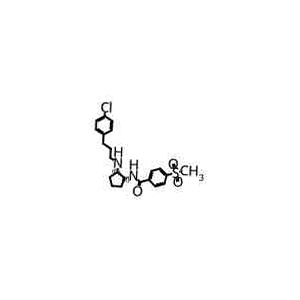 CS(=O)(=O)c1ccc(C(=O)N[C@@H]2CCC[C@H]2NCCCc2ccc(Cl)cc2)cc1